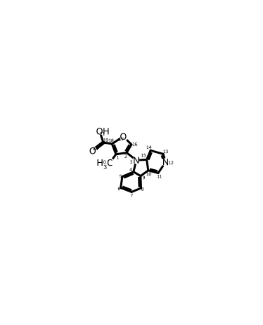 Cc1c(-n2c3ccccc3c3cnccc32)coc1C(=O)O